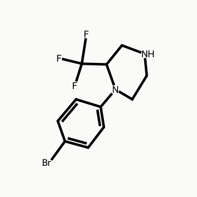 FC(F)(F)C1CNCCN1c1ccc(Br)cc1